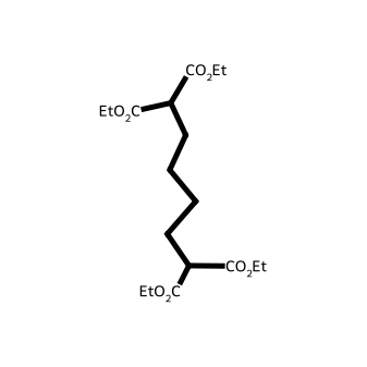 CCOC(=O)C(CCCCC(C(=O)OCC)C(=O)OCC)C(=O)OCC